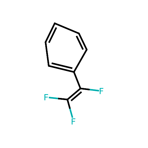 FC(F)=C(F)c1ccccc1